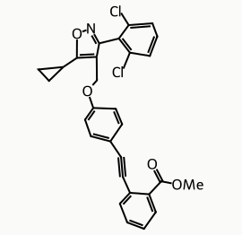 COC(=O)c1ccccc1C#Cc1ccc(OCc2c(-c3c(Cl)cccc3Cl)noc2C2CC2)cc1